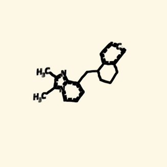 Cc1nc2c(CC3CCCc4ccccc43)cccn2c1C